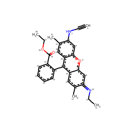 C#CNc1cc2oc3c/c(=N/CC)c(C)cc-3c(-c3ccccc3C(=O)OCC)c2cc1C